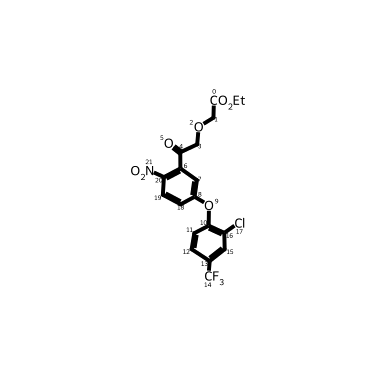 CCOC(=O)COCC(=O)c1cc(Oc2ccc(C(F)(F)F)cc2Cl)ccc1[N+](=O)[O-]